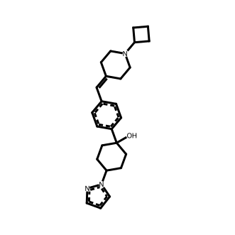 OC1(c2ccc(C=C3CCN(C4CCC4)CC3)cc2)CCC(n2cccn2)CC1